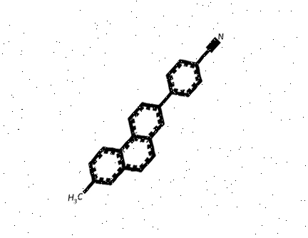 Cc1ccc2c(ccc3cc(-c4ccc(C#N)cc4)ccc32)c1